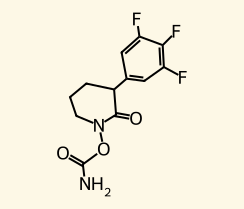 NC(=O)ON1CCCC(c2cc(F)c(F)c(F)c2)C1=O